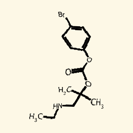 CCNCC(C)(C)OC(=O)Oc1ccc(Br)cc1